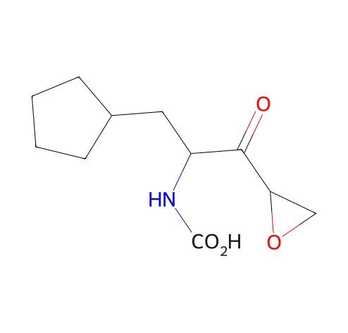 O=C(O)NC(CC1CCCC1)C(=O)C1CO1